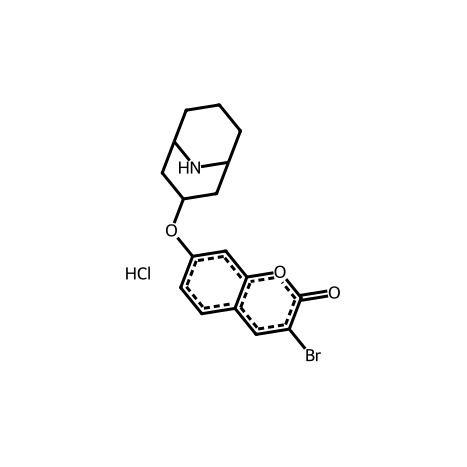 Cl.O=c1oc2cc(OC3CC4CCCC(C3)N4)ccc2cc1Br